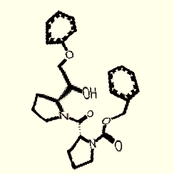 O=C(OCc1ccccc1)N1CCC[C@@H]1C(=O)N1CCC[C@H]1C(O)COc1ccccc1